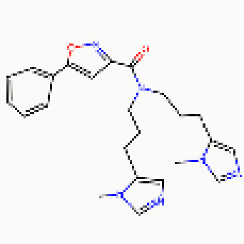 Cn1cncc1CCCN(CCCc1cncn1C)C(=O)c1cc(-c2ccccc2)on1